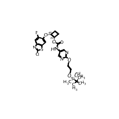 CC(C)(C)[Si](C)(C)OCCOc1ncc(NC(=O)O[C@H]2CC[C@H]2Oc2cc3sc(Cl)nc3cc2F)cn1